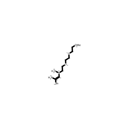 COCCOCCOCCN(N)/C=C(\N)C(C)C